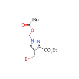 CCOC(=O)c1nn(COC(=O)C(C)(C)C)cc1CBr